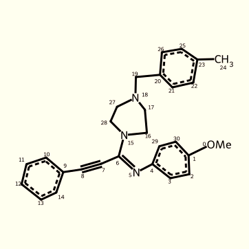 COc1ccc(N=C(C#Cc2ccccc2)N2CCN(Cc3ccc(C)cc3)CC2)cc1